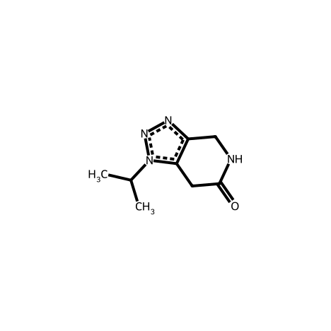 CC(C)n1nnc2c1CC(=O)NC2